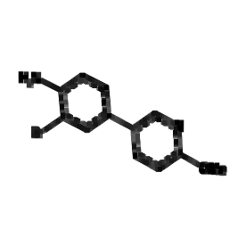 COc1ccc(-c2ccc(N)c(Br)c2)cn1